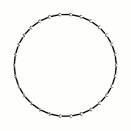 C1CCCCCCCCCCSSSSSSSSSSCCCCCCCCC1